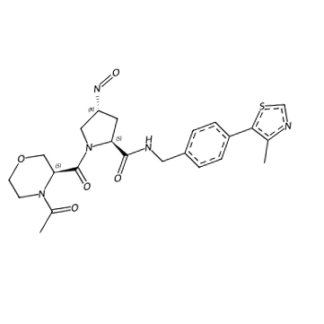 CC(=O)N1CCOC[C@H]1C(=O)N1C[C@H](N=O)C[C@H]1C(=O)NCc1ccc(-c2scnc2C)cc1